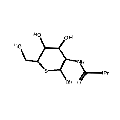 CC(C)C(=O)NC1C(O)SC(CO)C(O)C1O